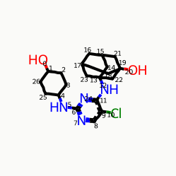 OC1CCC(Nc2ncc(Cl)c(NC34CC5CC(CC(O)(C5)C3)C4)n2)CC1